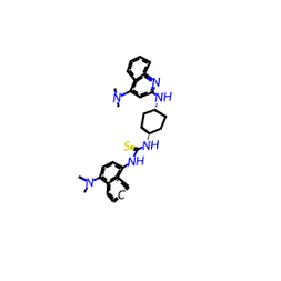 CN(C)c1cc(N[C@H]2CC[C@@H](NC(=S)Nc3ccc(N(C)C)c4ccccc34)CC2)nc2ccccc12